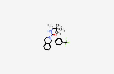 C[C@@H](NC(=O)N1CCc2ccccc2[C@H]1c1ccc(C(F)(F)F)cc1)C(C)(C)C